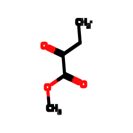 [CH2]CC(=O)C(=O)OC